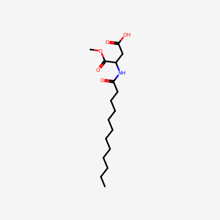 CCCCCCCCCCCC(=O)NC(CC(=O)O)C(=O)OC